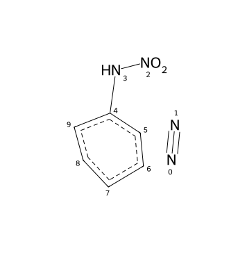 N#N.O=[N+]([O-])Nc1ccccc1